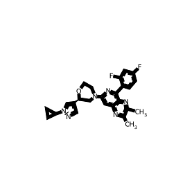 Cc1nc2cc(N3CCO[C@H](c4cnn(C5CC5)c4)C3)nc(-c3ccc(F)cc3F)c2nc1C